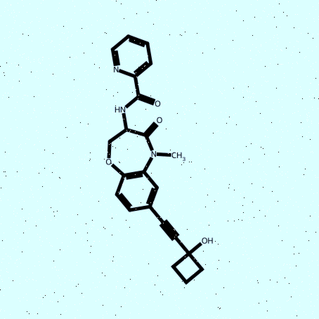 CN1C(=O)C(NC(=O)c2ccccn2)COc2ccc(C#CC3(O)CCC3)cc21